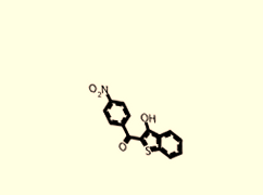 O=C(c1ccc([N+](=O)[O-])cc1)c1sc2ccccc2c1O